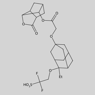 CCC1(OCC(F)(F)S(=O)(=O)O)C2CC3CC1CC(OCC(=O)OC1C4CC5C(=O)OC1C5C4)(C3)C2